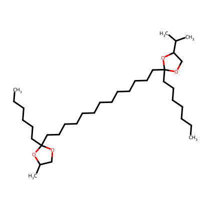 CCCCCCCC1(CCCCCCCCCCCCCC2(CCCCCC)OCC(C)O2)OCC(C(C)C)O1